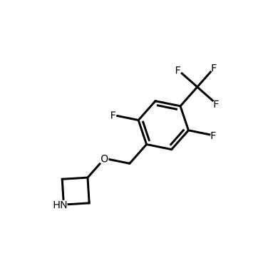 Fc1cc(C(F)(F)F)c(F)cc1COC1CNC1